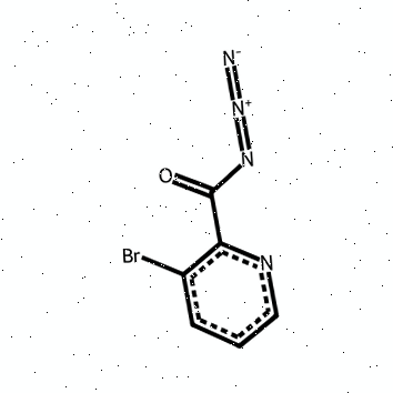 [N-]=[N+]=NC(=O)c1ncccc1Br